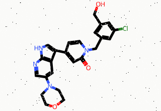 O=c1cc(-c2c[nH]c3ncc(N4CCOCC4)cc23)ccn1Cc1cc(Cl)cc(CO)c1